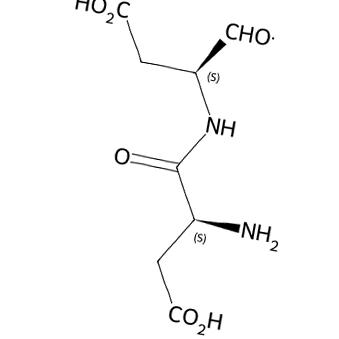 N[C@@H](CC(=O)O)C(=O)N[C@H]([C]=O)CC(=O)O